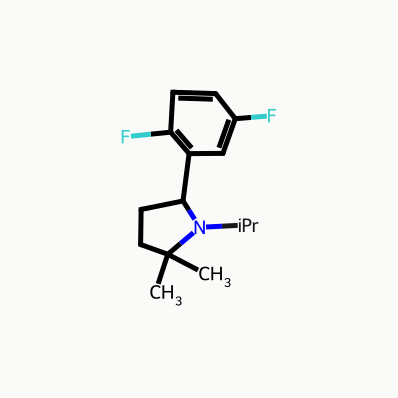 CC(C)N1C(c2cc(F)ccc2F)CCC1(C)C